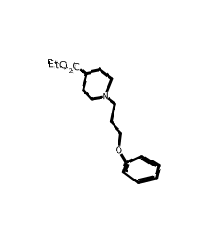 CCOC(=O)C1CCN(CCCOc2ccccc2)CC1